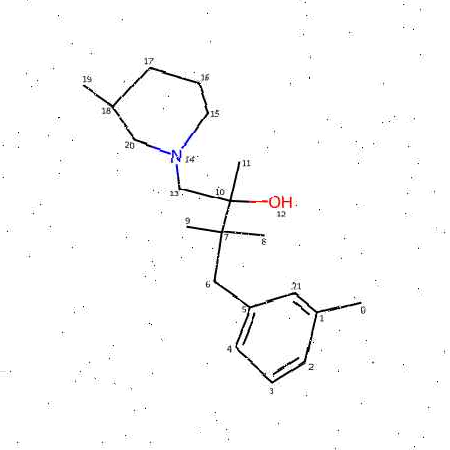 Cc1cccc(CC(C)(C)C(C)(O)CN2CCCC(C)C2)c1